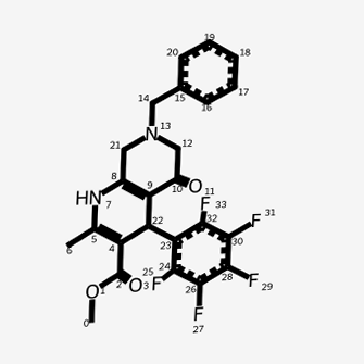 COC(=O)C1=C(C)NC2=C(C(=O)CN(Cc3ccccc3)C2)C1c1c(F)c(F)c(F)c(F)c1F